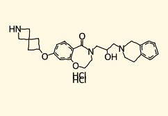 Cl.Cl.O=C1c2ccc(OC3CC4(CNC4)C3)cc2OCCN1CC(O)CN1CCc2ccccc2C1